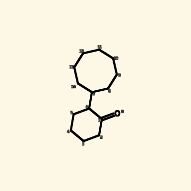 O=C1CCCCC1C1CCCCCCC1